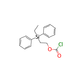 CC[Si](CCOC(=O)Cl)(c1ccccc1)c1ccccc1